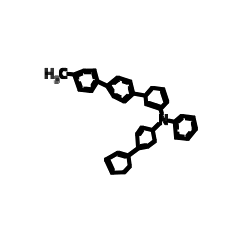 Cc1ccc(-c2ccc(C3C=C(N(c4ccccc4)C4C=CC(C5=CC=CCC5)=CC4)C=CC3)cc2)cc1